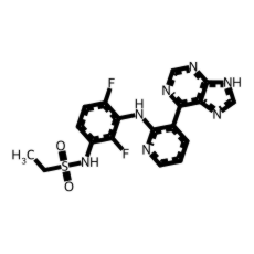 CCS(=O)(=O)Nc1ccc(F)c(Nc2ncccc2-c2ncnc3[nH]cnc23)c1F